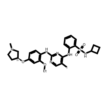 CCOc1cc(O[C@H]2CCN(C)C2)ccc1Nc1ncc(I)c(Nc2ccccc2S(=O)(=O)NC2CCC2)n1